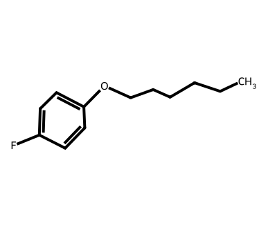 CCCCCCOc1ccc(F)cc1